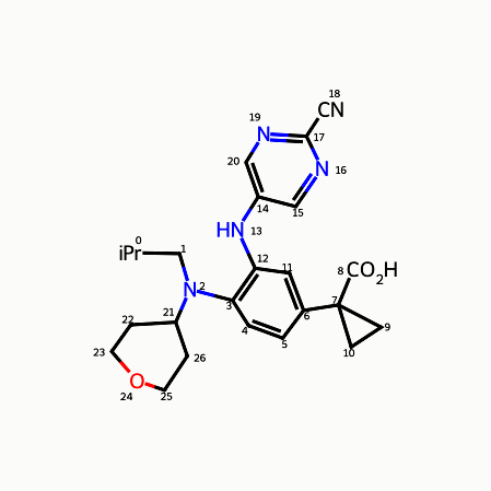 CC(C)CN(c1ccc(C2(C(=O)O)CC2)cc1Nc1cnc(C#N)nc1)C1CCOCC1